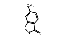 COc1ccc2c(c1)S[N]C2=O